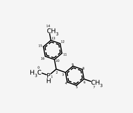 CPC(c1ccc(C)cc1)c1ccc(C)cc1